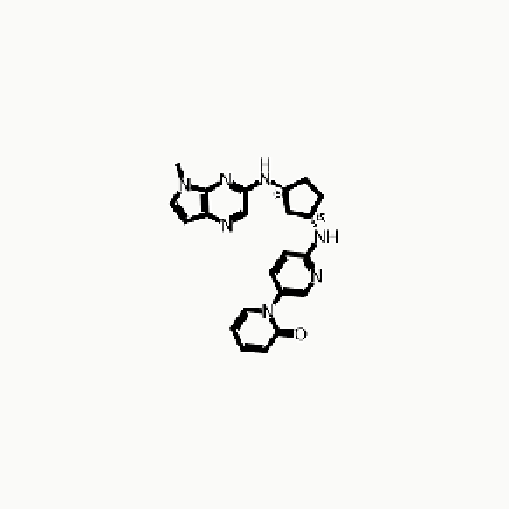 Cn1ccc2ncc(N[C@H]3CC[C@H](Nc4ccc(-n5ccccc5=O)cn4)C3)nc21